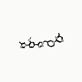 COc1cc(-c2cn(CC3CCCN(c4cncc(C)n4)C3)nn2)ccc1-n1cnc(C)c1